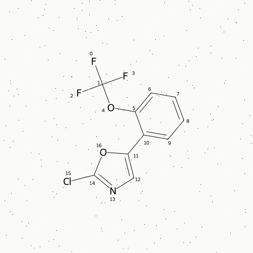 FC(F)(F)Oc1ccccc1-c1cnc(Cl)o1